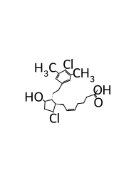 Cc1cc(CC[C@@H]2[C@@H](C/C=C\CCCC(=O)O)[C@H](Cl)C[C@H]2O)cc(C)c1Cl